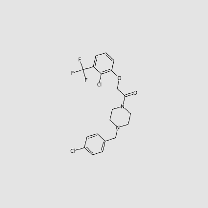 O=C(COc1cccc(C(F)(F)F)c1Cl)N1CCN(Cc2ccc(Cl)cc2)CC1